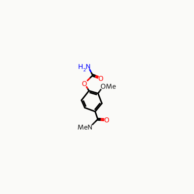 CNC(=O)c1ccc(OC(N)=O)c(OC)c1